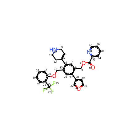 O=C(OCc1cc(C2=CCNCC2)c(COc2ccccc2C(F)(F)F)cc1-c1ccoc1)c1ccccn1